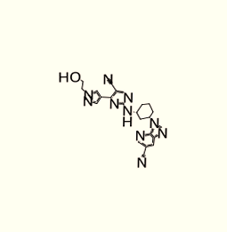 N#Cc1cnc2c(c1)ncn2[C@H]1CCC[C@@H](Nc2ncc(C#N)c(-c3cnn(CCO)c3)n2)C1